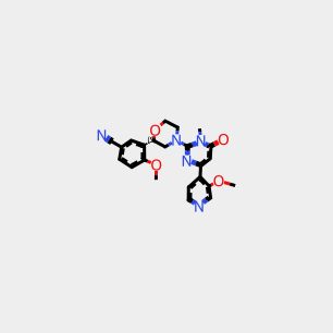 COc1cnccc1-c1cc(=O)n(C)c(N2CCO[C@@H](c3cc(C#N)ccc3OC)C2)n1